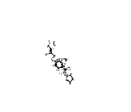 Cl.NCC=C(F)COc1ccc(C(=O)NC2CCCC2)cc1